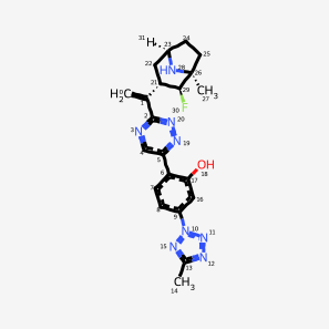 C=C(c1ncc(-c2ccc(-n3nnc(C)n3)cc2O)nn1)[C@@H]1C[C@H]2CC[C@](C)(N2)[C@H]1F